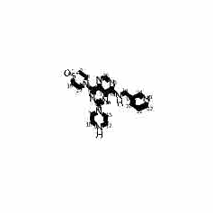 [O-][S+]1CCN(c2nc(N3CCNCC3)nc3c(NCc4cccnc4)ncnc23)CC1